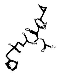 NC(=O)C[C@H](NC(=O)[CH]CC(F)(F)Cc1ccccc1)C(=O)c1nc(C2CC2)no1